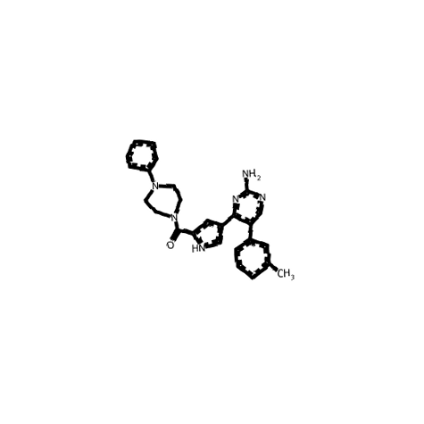 Cc1cccc(-c2cnc(N)nc2-c2c[nH]c(C(=O)N3CCN(c4ccccc4)CC3)c2)c1